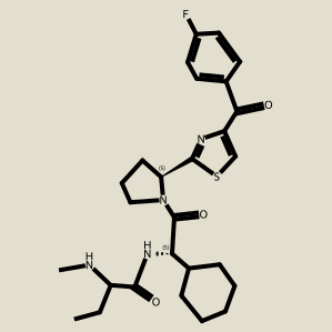 CCC(NC)C(=O)N[C@H](C(=O)N1CCC[C@H]1c1nc(C(=O)c2ccc(F)cc2)cs1)C1CCCCC1